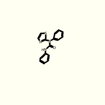 O=C(Nc1ccccc1)N(c1ccccc1)c1nccs1